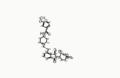 COc1cccc(C(=O)NC2CCN(CCc3cccc4c3C(=O)N(C3CCC(=O)NC3=O)C4=O)CC2)c1